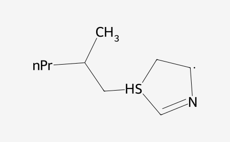 CCCC(C)C[SH]1C=N[CH]C1